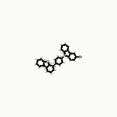 Brc1ccc2c(c1)c1ccccc1n2-c1ccc(-c2cccc3c2oc2ccccc23)cc1